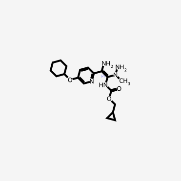 CN(N)/C(NC(=O)OCC1CC1)=C(\N)c1ccc(OC2CCCCC2)cn1